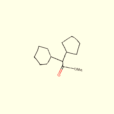 COC(=O)C(C1CCCCC1)C1CCCC1